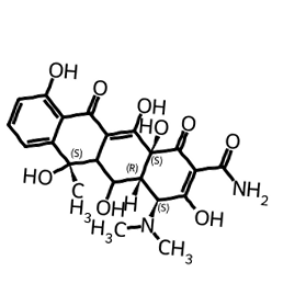 CN(C)[C@@H]1C(O)=C(C(N)=O)C(=O)[C@@]2(O)C(O)=C3C(=O)c4c(O)cccc4[C@@](C)(O)C3C(O)[C@@H]12